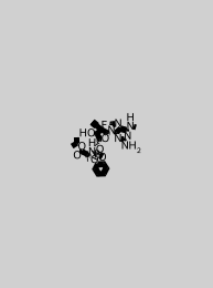 C#C[C@@]1(F)[C@H](O)[C@@H](CO[P@](=O)(N[C@H](C)C(=O)OC(C)C)Oc2ccccc2)O[C@H]1n1cnc2c(NC)nc(N)nc21